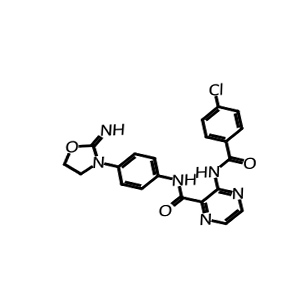 N=C1OCCN1c1ccc(NC(=O)c2nccnc2NC(=O)c2ccc(Cl)cc2)cc1